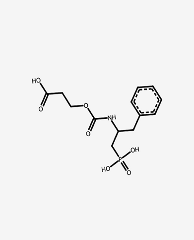 O=C(O)CCOC(=O)NC(Cc1ccccc1)CP(=O)(O)O